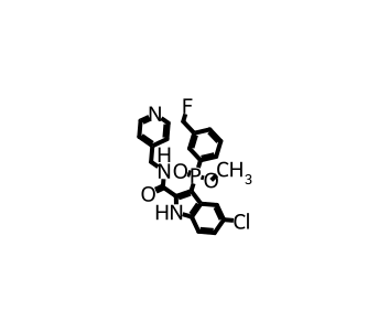 COP(=O)(c1cccc(CF)c1)c1c(C(=O)NCc2ccncc2)[nH]c2ccc(Cl)cc12